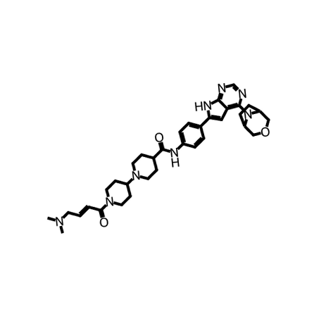 CN(C)C/C=C/C(=O)N1CCC(N2CCC(C(=O)Nc3ccc(-c4cc5c(N6C7CCC6COC7)ncnc5[nH]4)cc3)CC2)CC1